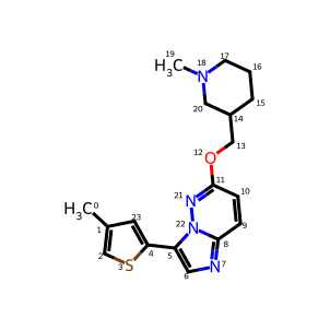 Cc1csc(-c2cnc3ccc(OCC4CCCN(C)C4)nn23)c1